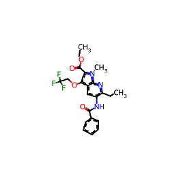 CCOC(=O)c1c(OCC(F)(F)F)c2cc(NC(=O)c3ccccc3)c(CC)nc2n1C